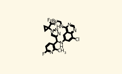 Cc1nc(F)ccc1[C@H](Nc1cc(Cl)c2ncnc(NCC(C)(C)C)c2c1)c1cn(C2(C(F)F)CC2)nn1